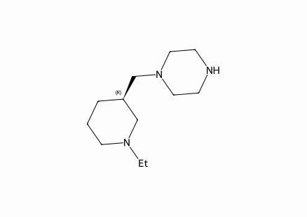 CCN1CCC[C@@H](CN2CCNCC2)C1